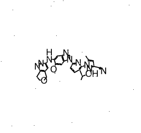 COc1cc2c(cc1Nc1cc3c(nn1)CCOC3)ncn2-c1ccc(C(C)O)c(-n2nc(C#N)cc2C)n1